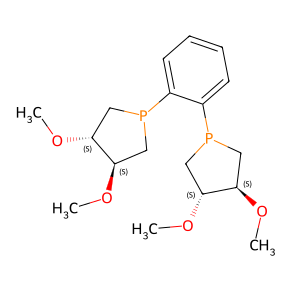 CO[C@@H]1CP(c2ccccc2P2C[C@@H](OC)[C@H](OC)C2)C[C@H]1OC